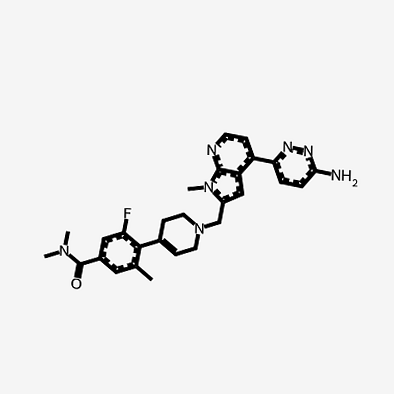 Cc1cc(C(=O)N(C)C)cc(F)c1C1=CCN(Cc2cc3c(-c4ccc(N)nn4)ccnc3n2C)CC1